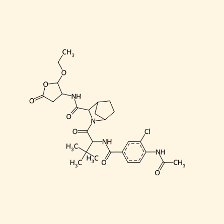 CCOC1OC(=O)CC1NC(=O)C1C2CCC(C2)N1C(=O)C(NC(=O)c1ccc(NC(C)=O)c(Cl)c1)C(C)(C)C